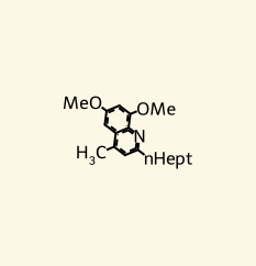 CCCCCCCc1cc(C)c2cc(OC)cc(OC)c2n1